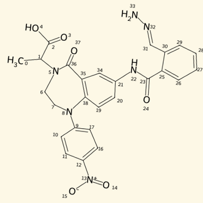 CC(C(=O)O)N1CCN(c2ccc([N+](=O)[O-])cc2)c2ccc(NC(=O)c3ccccc3C=NN)cc2C1=O